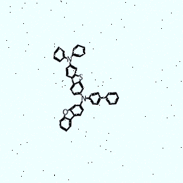 c1ccc(-c2ccc(N(c3ccc4c(c3)oc3ccccc34)c3ccc4c(c3)sc3cc(N(c5ccccc5)c5ccccc5)ccc34)cc2)cc1